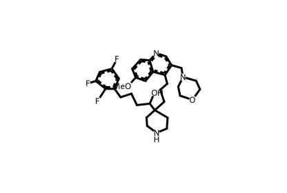 COc1ccc2ncc(CN3CCOCC3)c(CCCC3(C(O)CCCc4cc(F)cc(F)c4F)CCNCC3)c2c1